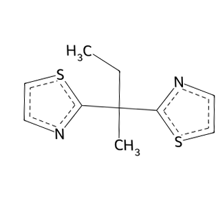 CCC(C)(c1nccs1)c1nccs1